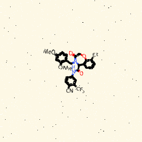 CCc1cccc2c1OCC(=O)N(Cc1ccc(OC)cc1OC)C2C(=O)Nc1ccc(C#N)c(C(F)(F)F)c1